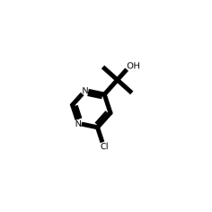 CC(C)(O)c1cc(Cl)ncn1